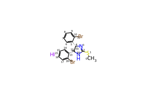 CSC1=N[C@@H](c2ccccc2Br)[C@@H](c2ccccc2Br)N1.I